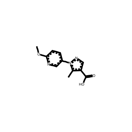 COc1ccc(-n2ncc(C(=O)O)c2C)cn1